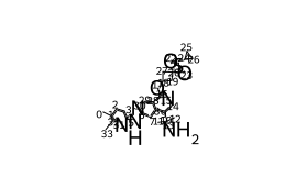 Cc1ccc(Nc2cc3c(C(C)(C)N)cnc(O[C@H]4C[C@@H](S(=O)(=O)C5CC5)C4)c3cn2)nc1C